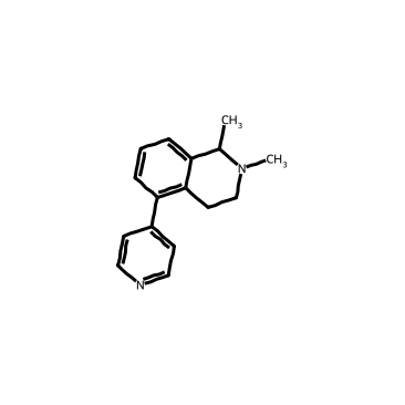 CC1c2cccc(-c3ccncc3)c2CCN1C